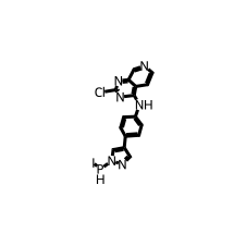 Clc1nc(Nc2ccc(-c3cnn(PI)c3)cc2)c2ccncc2n1